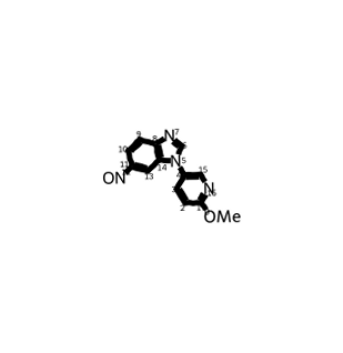 COc1ccc(-n2cnc3ccc(N=O)cc32)cn1